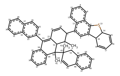 CC1C(c2cc3c(c4ccccc24)SC2C=CC=CC32)C=CC2=C(c3ccc4ccccc4c3)c3ccccc3C(C)(C3(C)C=Cc4ccccc4C3)C21